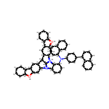 c1ccc2c(-c3ccc(N(c4cccc5ccccc45)c4cccc5c4n4c6cc7oc8ccccc8c7cc6c6c7cc8c(cc7n5c64)oc4ccccc48)cc3)cccc2c1